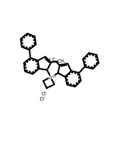 CC1=Cc2c(-c3ccccc3)cccc2[CH]1[Zr+2]1([CH]2C(C)=Cc3c(-c4ccccc4)cccc32)[CH2]C[CH2]1.[Cl-].[Cl-]